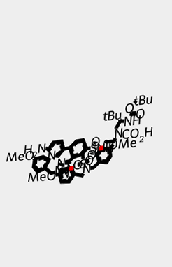 COc1ccc(CN(Cc2ccc(OC)cc2)S(=O)(=O)c2c(S(=O)(=O)NCCN(CC(NC(=O)OC(C)(C)C)C(C)(C)C)C(=O)O)ccc(-c3ccc(N)nc3)c2-c2nnn(Cc3ccc(OC)cc3)n2)cc1